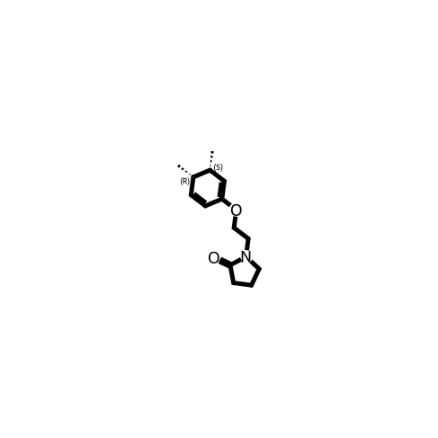 C[C@@H]1C=C(OCCN2CCCC2=O)C=C[C@@H]1C